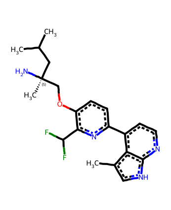 Cc1c[nH]c2nccc(-c3ccc(OC[C@@](C)(N)CC(C)C)c(C(F)F)n3)c12